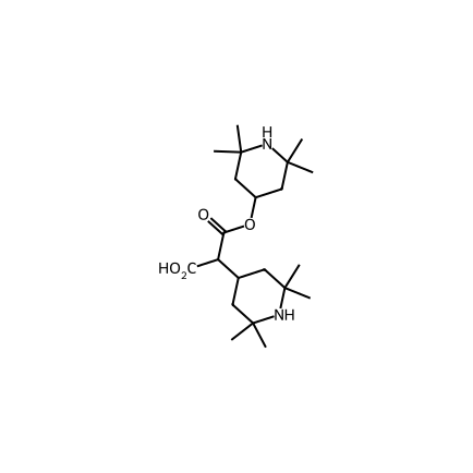 CC1(C)CC(OC(=O)C(C(=O)O)C2CC(C)(C)NC(C)(C)C2)CC(C)(C)N1